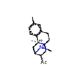 CC(=O)C1CC2C3Cc4cc(C)ccc4[C@]2(C)CC1N3C